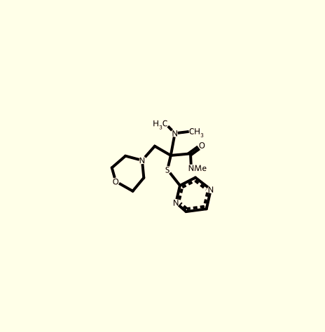 CNC(=O)C(CN1CCOCC1)(Sc1cnccn1)N(C)C